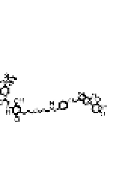 C=CS(=O)(=O)NC1CCN(C(=O)CNc2cc(Cl)c(CCCOCCCNCc3ccc(OCc4scc5c4CN(C4CCC(=O)NC4=O)C5=O)cc3)cc2O)CC1